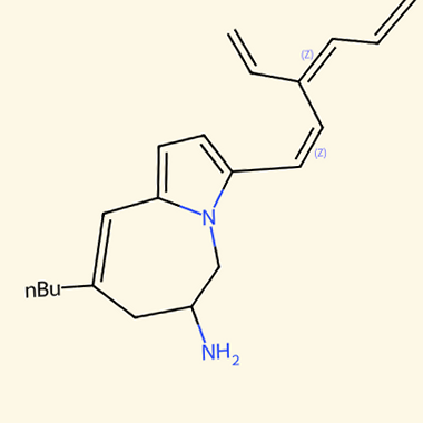 C=C/C=C(C=C)\C=C/c1ccc2n1CC(N)CC(CCCC)=C2